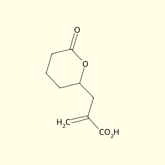 C=C(CC1CCCC(=O)O1)C(=O)O